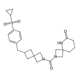 O=C1CCCC2(CN(C(=O)N3CC4(CC(Cc5ccc(S(=O)(=O)C6CC6)cc5)C4)C3)C2)N1